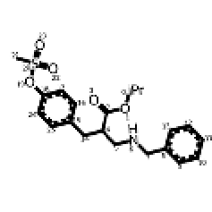 CC(C)OC(=O)C(CNCc1ccccc1)Cc1ccc(OS(C)(=O)=O)cc1